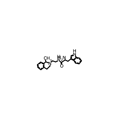 CC1c2ccccc2CCN1CCNC(=O)C(N)Cc1c[nH]c2ccccc12